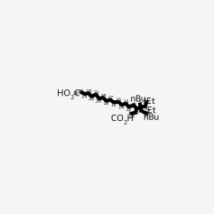 CCCCC(CC)CC(C)(CC(CC)CCCC)C(CCCCCCCCCCCCCCCC(=O)O)CCC(=O)O